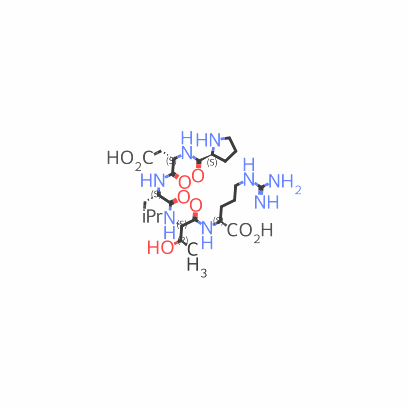 CC(C)C[C@H](NC(=O)[C@H](CC(=O)O)NC(=O)[C@@H]1CCCN1)C(=O)N[C@H](C(=O)N[C@@H](CCCNC(=N)N)C(=O)O)[C@@H](C)O